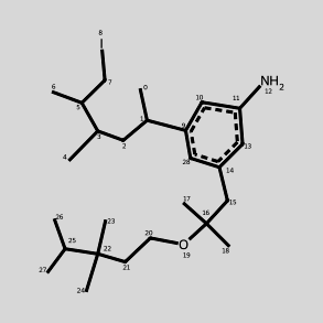 CC(CC(C)C(C)CI)c1cc(N)cc(CC(C)(C)OCCC(C)(C)C(C)C)c1